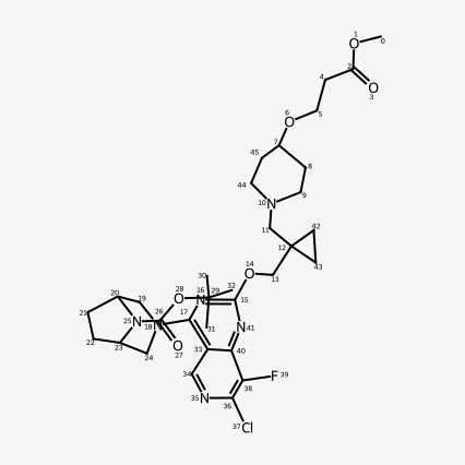 COC(=O)CCOC1CCN(CC2(COc3nc(N4CC5CCC(C4)N5C(=O)OC(C)(C)C)c4cnc(Cl)c(F)c4n3)CC2)CC1